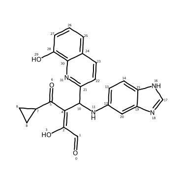 O=C/C(O)=C(/C(=O)C1CC1)C(Nc1ccc2[nH]cnc2c1)c1ccc2cccc(O)c2n1